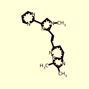 Cc1nc2ccc(C=Cc3nc(-c4ncccn4)cn3C)nn2c1C